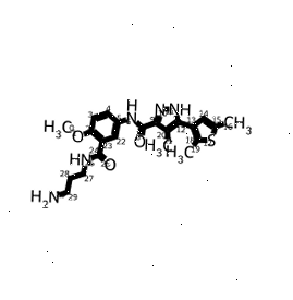 COc1ccc(NC(=O)c2n[nH]c(-c3cc(C)sc3C)c2C)cc1C(=O)NCCCN